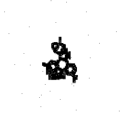 Cc1cc(-c2c(-c3ccc(F)cc3)nn3c2CO[C@@H](C)C3)c2cn[nH]c2n1